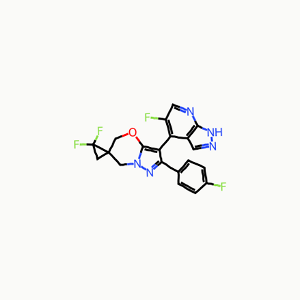 Fc1ccc(-c2nn3c(c2-c2c(F)cnc4[nH]ncc24)OCC2(C3)CC2(F)F)cc1